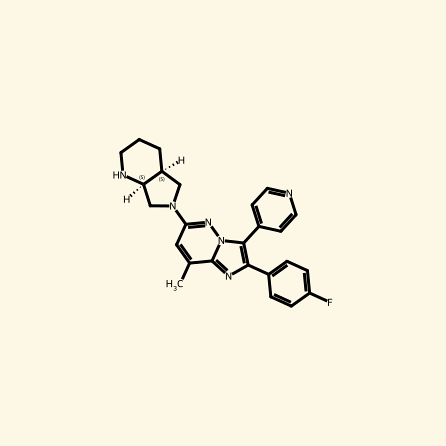 Cc1cc(N2C[C@@H]3CCCN[C@@H]3C2)nn2c(-c3ccncc3)c(-c3ccc(F)cc3)nc12